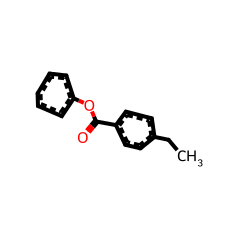 CCc1ccc(C(=O)Oc2ccccc2)cc1